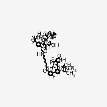 Cc1ncsc1-c1ccc([C@H](CC(=O)NCCCCCCNC(=O)c2ccc(F)c(-c3ccc(N4C[C@@H](C)N(C)[C@@H](C)C4)c(NC(=O)c4c[nH]c(=O)cc4C(F)(F)F)c3)c2)NC(=O)[C@@H]2C[C@@H](O)CN2C(=O)[C@@H](NC(=O)C2(F)CC2)C(C)(C)C)cc1